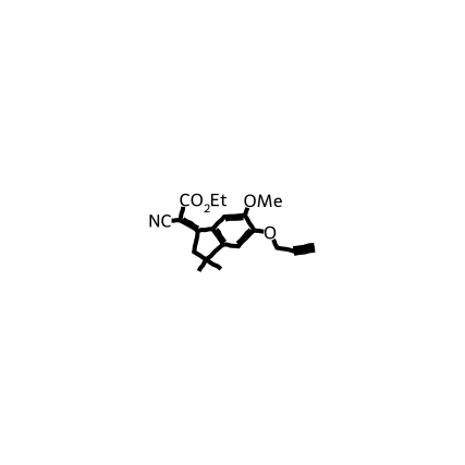 C#CCOc1cc2c(cc1OC)C(=C(C#N)C(=O)OCC)CC2(C)C